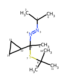 CC(C)/N=N/C(C)(SC(C)(C)C)C1CC1